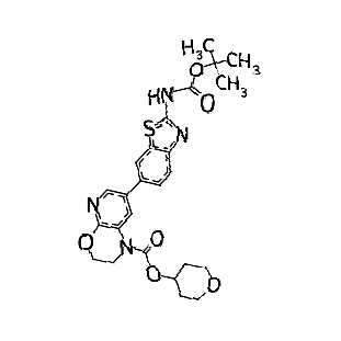 CC(C)(C)OC(=O)Nc1nc2ccc(-c3cnc4c(c3)N(C(=O)OC3CCOCC3)CCO4)cc2s1